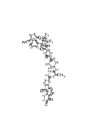 C[C@H]1CN(c2ccc3c(c2)C(=O)N(C2CCC(=O)NC2=O)C3=O)CCN1CC1CCN(c2ccc(C(=O)NC3C(C)(C)[C@@H]4Oc5ccc(C#N)c6nccc(c56)C34C)cn2)CC1